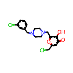 O=c1cc(CCl)oc(CN2CCN(Cc3cccc(Cl)c3)CC2)c1O